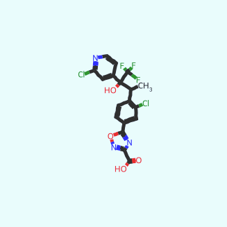 CC(c1ccc(-c2nc(C(=O)O)no2)cc1Cl)C(O)(c1ccnc(Cl)c1)C(F)(F)F